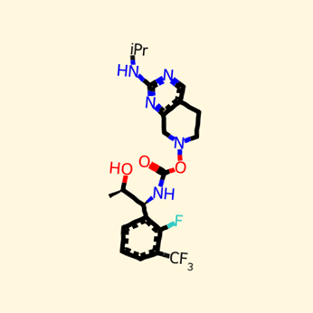 CC(C)Nc1ncc2c(n1)CN(OC(=O)N[C@@H](c1cccc(C(F)(F)F)c1F)[C@@H](C)O)CC2